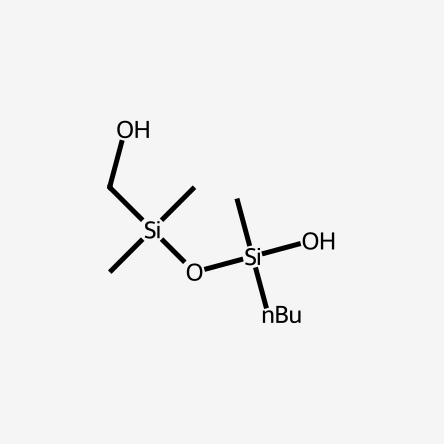 CCCC[Si](C)(O)O[Si](C)(C)CO